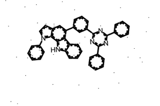 c1ccc(-c2nc(-c3ccccc3)nc(-c3cccc(-c4cc5ccn(-c6ccccc6)c5c5[nH]c6ccccc6c45)c3)n2)cc1